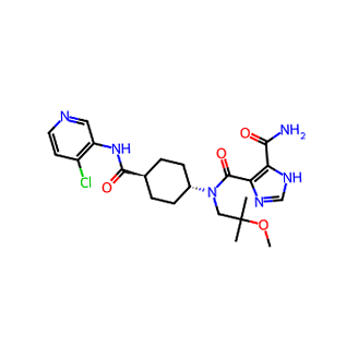 COC(C)(C)CN(C(=O)c1nc[nH]c1C(N)=O)[C@H]1CC[C@H](C(=O)Nc2cnccc2Cl)CC1